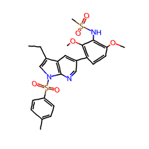 CCc1cn(S(=O)(=O)c2ccc(C)cc2)c2ncc(-c3ccc(OC)c(NS(C)(=O)=O)c3OC)cc12